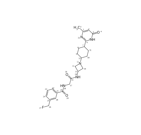 Cc1cc(=O)[nH]c(C2CCC(N3CC(NC(=O)CNC(=O)c4cccc(CF)c4)C3)CC2)n1